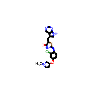 CN1CCC(Oc2ccc(N=C3NC(=O)C(=Cc4c[nH]c5ncncc45)S3)c(Cl)c2)C1